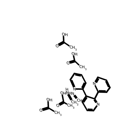 C=N.C=N.CC(=O)O.CC(=O)O.CC(=O)O.CC(=O)O.c1ccc(-c2cccnc2-c2ccccn2)nc1